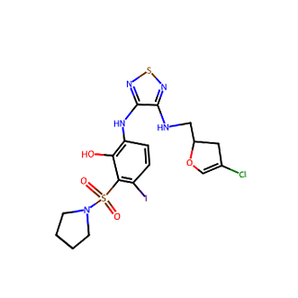 O=S(=O)(c1c(I)ccc(Nc2nsnc2NCC2CC(Cl)=CO2)c1O)N1CCCC1